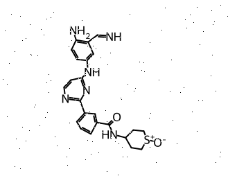 N=Cc1cc(Nc2ccnc(-c3cccc(C(=O)NC4CC[S+]([O-])CC4)c3)n2)ccc1N